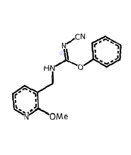 COc1ncccc1CN/C(=N/C#N)Oc1ccccc1